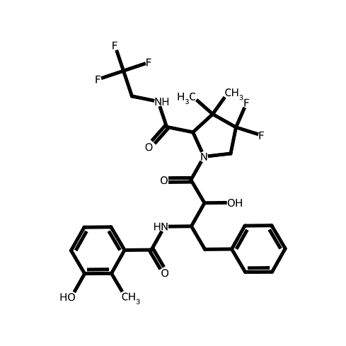 Cc1c(O)cccc1C(=O)NC(Cc1ccccc1)C(O)C(=O)N1CC(F)(F)C(C)(C)C1C(=O)NCC(F)(F)F